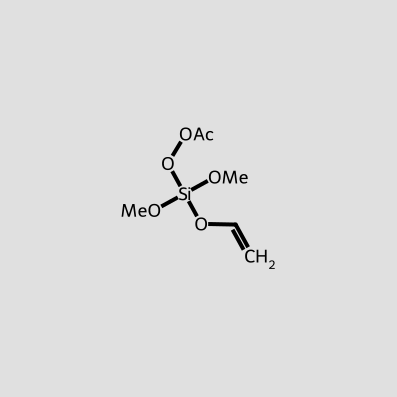 C=CO[Si](OC)(OC)OOC(C)=O